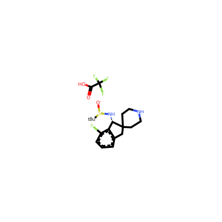 CC(C)(C)[S+]([O-])N[C@H]1c2c(F)cccc2CC12CCNCC2.O=C(O)C(F)(F)F